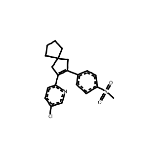 CS(=O)(=O)c1ccc(C2=C(c3ccc(Cl)cn3)CC3(CCCC3)C2)cc1